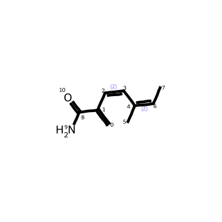 C=C(/C=C\C(C)=C/C)C(N)=O